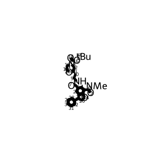 CNC(=O)c1cc(C(=O)NCC[C@@H]2CN(C(=O)OC(C)(C)C)CCO2)cc2c1OCC2c1ccccc1